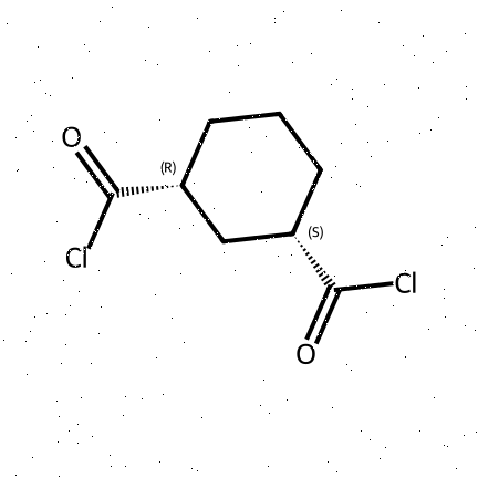 O=C(Cl)[C@@H]1CCC[C@H](C(=O)Cl)C1